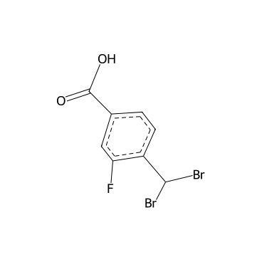 O=C(O)c1ccc(C(Br)Br)c(F)c1